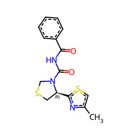 Cc1csc([C@H]2CSCN2C(=O)NC(=O)c2ccccc2)n1